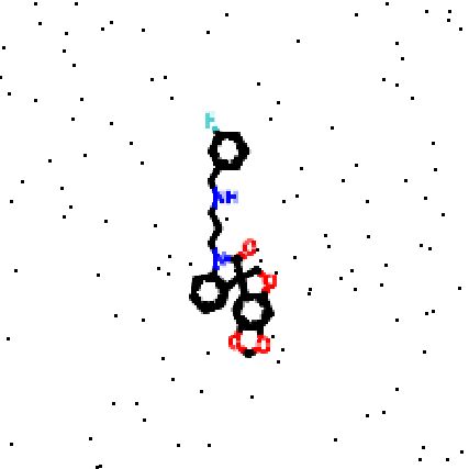 O=C1N(CCCNCc2cccc(F)c2)c2ccccc2C12COc1cc3c(cc12)OCO3